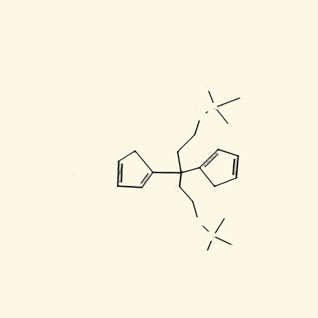 CC[Si](CC)(CC)OCCC(CCO[Si](CC)(CC)CC)(C1=CC=CC1)C1=CC=CC1.[Cl-].[Cl-].[Zr+2]